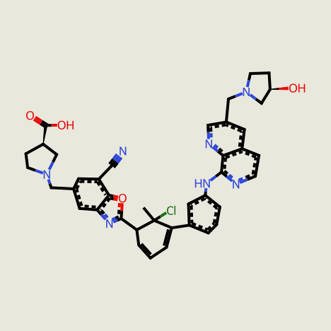 CC1(Cl)C(c2cccc(Nc3nccc4cc(CN5CC[C@@H](O)C5)cnc34)c2)=CC=CC1c1nc2cc(CN3CC[C@@H](C(=O)O)C3)cc(C#N)c2o1